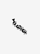 O=S(=O)(c1ccc(C(F)(F)F)nc1)N1CCN2C[C@@H](Oc3cnc(C4CC4)cn3)C[C@H]2C1